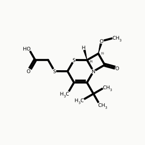 CO[C@H]1C(=O)N2C(C(C)(C)C)=C(C)C(SCC(=O)O)S[C@H]12